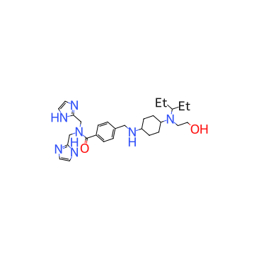 CCC(CC)N(CCO)C1CCC(NCc2ccc(C(=O)N(Cc3ncc[nH]3)Cc3ncc[nH]3)cc2)CC1